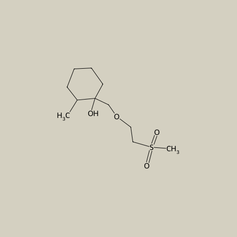 CC1CCCCC1(O)COCCS(C)(=O)=O